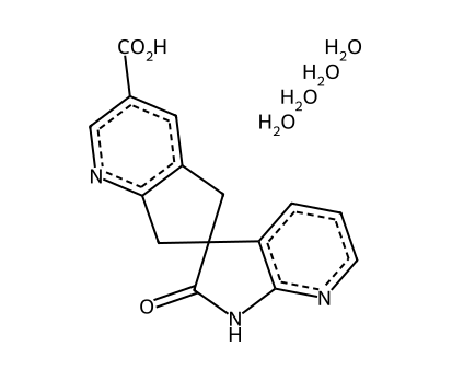 O.O.O.O.O=C(O)c1cnc2c(c1)CC1(C2)C(=O)Nc2ncccc21